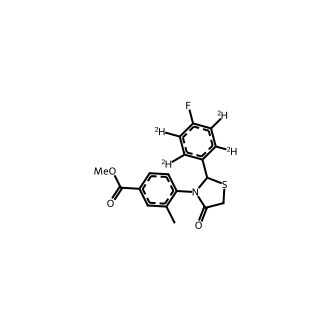 [2H]c1c([2H])c(C2SCC(=O)N2c2ccc(C(=O)OC)cc2C)c([2H])c([2H])c1F